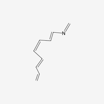 C=C/C=C/C=C\C=C\N=C